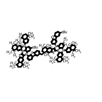 Cc1cc2c3c(c1)N(c1ccc4oc5ccc(C(C)(C)C)cc5c4c1)c1c(sc4cc5c(cc14)C(C)(C)CCC5(C)Cc1ccc4sc5c(N6c7cc(C(C)(C)C)cc8c7B(c7cc9c(cc7N8c7ccc8c(c7)C(C)(C)CCC8(C)C)C(C)(C)CCC9(C)C)c7sc8cc9c(cc8c76)C(C)(C)CCC9(C)C)cccc5c4c1)B3c1cc3c(cc1N2c1ccc2c(c1)C(C)(C)CCC2(C)C)C(C)(C)CCC3(C)C